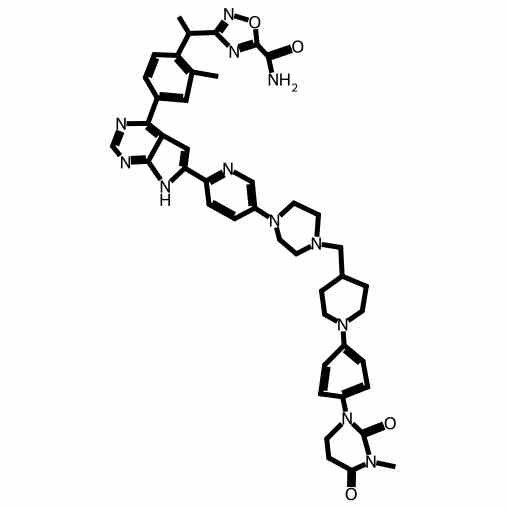 Cc1cc(-c2ncnc3[nH]c(-c4ccc(N5CCN(CC6CCN(c7ccc(N8CCC(=O)N(C)C8=O)cc7)CC6)CC5)cn4)cc23)ccc1C(C)c1noc(C(N)=O)n1